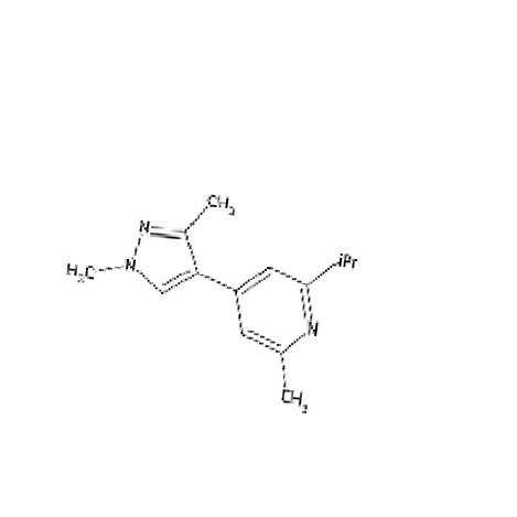 Cc1cc(-c2cn(C)nc2C)cc(C(C)C)n1